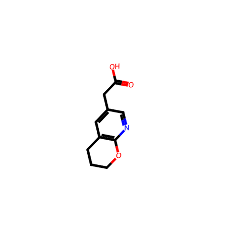 O=C(O)Cc1cnc2c(c1)CCCO2